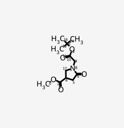 COC(=O)C1CC(=O)N(CC(=O)OC(C)(C)C)C1